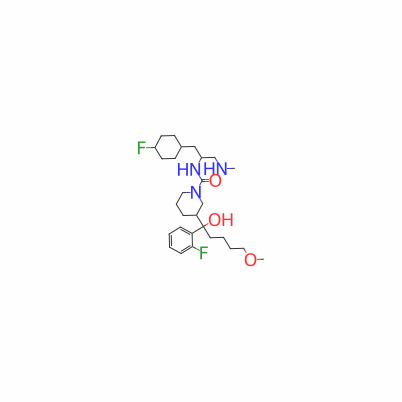 CNCC(CC1CCC(F)CC1)NC(=O)N1CCCC(C(O)(CCCCOC)c2ccccc2F)C1